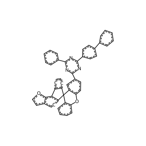 c1ccc(-c2ccc(-c3nc(-c4ccccc4)nc(-c4ccc5c(c4)C4(c6ccccc6O5)c5ccccc5-c5c4ccc4ccoc54)n3)cc2)cc1